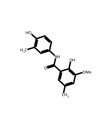 COc1cc(C)cc(C(=O)Nc2ccc(O)c(C)c2)c1O